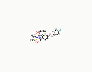 CC[S+]([O-])C(C)n1cc2ccc(OCc3ccc(F)cc3)cc2c1C(=O)C=O